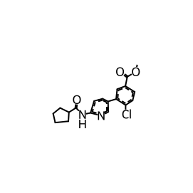 COC(=O)c1ccc(Cl)c(-c2ccc(NC(=O)C3CCCC3)nc2)c1